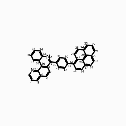 c1cnc2c(c1)ccc1c(-c3ccc(-c4ccc5ccc6cccc7ccc4c5c67)cc3)nc3ccccc3c12